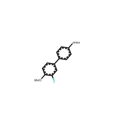 CCCCCCc1ccc(-c2ccc(OC)c(F)c2)cc1